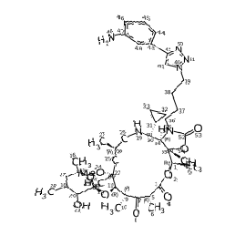 CC[C@H]1OC(=O)[C@H](C)C(=O)[C@H](C)[C@@H](O[C@@H]2OC(C)CC(C)C2O)[C@](C)(OC)C[C@@H](C)CN[C@H](C2CC2)[C@H]2N(CCCCn3cc(-c4cccc(N)c4)nn3)C(=O)O[C@]12C